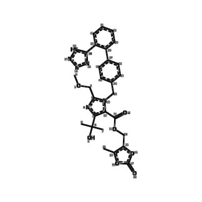 COCc1nc(C(C)(C)O)c(C(=O)OCc2oc(=O)oc2C)n1Cc1ccc(-c2ccccc2-c2nnn[nH]2)cc1